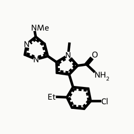 CCc1ccc(Cl)cc1-c1cc(-c2cc(NC)ncn2)n(C)c1C(N)=O